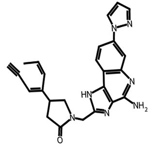 C#C/C=C(\C=C/C)C1CC(=O)N(Cc2nc3c(N)nc4cc(-n5cccn5)ccc4c3[nH]2)C1